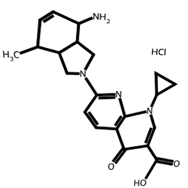 CC1C=CC(N)C2CN(c3ccc4c(=O)c(C(=O)O)cn(C5CC5)c4n3)CC12.Cl